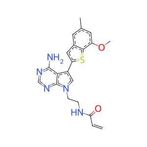 C=CC(=O)NCCn1cc(-c2cc3cc(C)cc(OC)c3s2)c2c(N)ncnc21